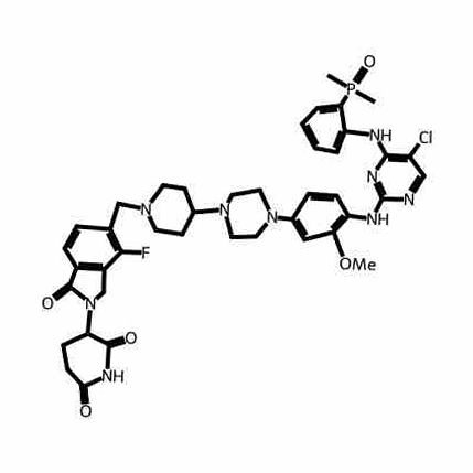 COc1cc(N2CCN(C3CCN(Cc4ccc5c(c4F)CN(C4CCC(=O)NC4=O)C5=O)CC3)CC2)ccc1Nc1ncc(Cl)c(Nc2ccccc2P(C)(C)=O)n1